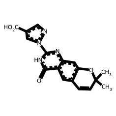 CC1(C)C=Cc2cc3c(=O)[nH]c(-n4cc(C(=O)O)cn4)nc3cc2O1